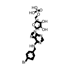 O=P(O)(O)OC[C@H]1O[C@@H](n2cnc3c(NCc4ccc(Br)cc4)ncnc32)[C@H](O)[C@@H]1O